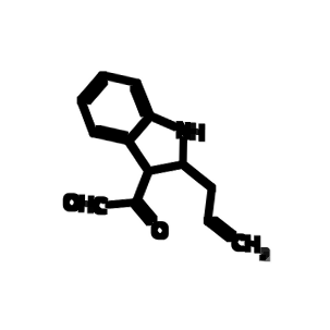 C=CCC1Nc2ccccc2C1C(=O)C=O